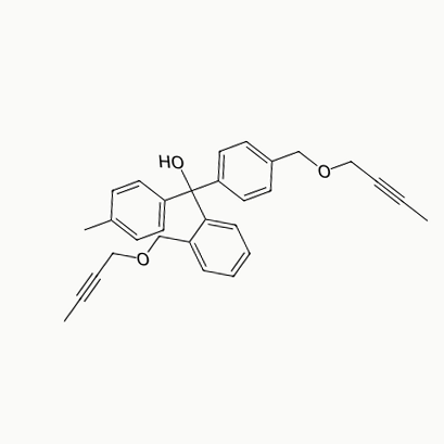 CC#CCOCc1ccc(C(O)(c2ccc(C)cc2)c2ccccc2COCC#CC)cc1